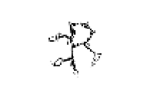 [O]C(=O)c1c(Cl)cccc1Cl